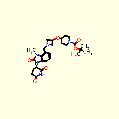 Cn1c(=O)n(C2CCC(=O)NC2=O)c2cccc(CN3CC(OC4CCN(C(=O)OC(C)(C)C)CC4)C3)c21